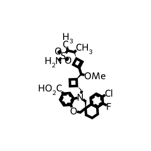 COC(C1=C[C@@H](C(C)C(C)S(N)(=O)=O)C1)[C@@H]1CC[C@H]1CN1C[C@@]2(CCCc3c2ccc(Cl)c3F)COc2ccc(C(=O)O)cc21